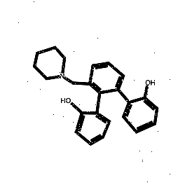 Oc1ccccc1-c1cccc(CN2CCCCC2)c1-c1ccccc1O